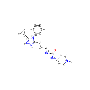 CN1CCC(NC(=O)NCCCc2nnc(C3CC3)n2-c2ccccc2)CC1